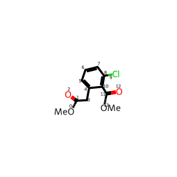 COC(=O)Cc1cccc(Cl)c1C(=O)OC